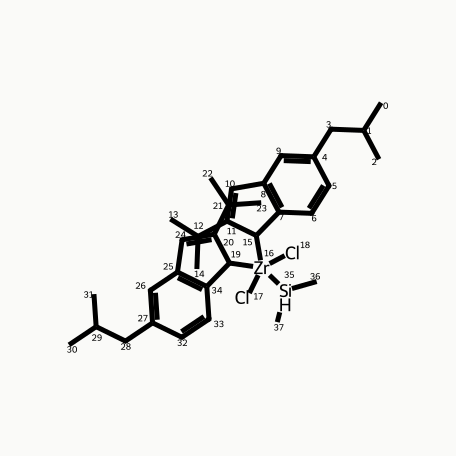 CC(C)Cc1ccc2c(c1)C=C(C(C)C)[CH]2[Zr]([Cl])([Cl])([CH]1C(C(C)C)=Cc2cc(CC(C)C)ccc21)[SiH](C)C